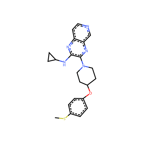 CSc1ccc(OC2CCN(c3nc4cnccc4nc3NC3CC3)CC2)cc1